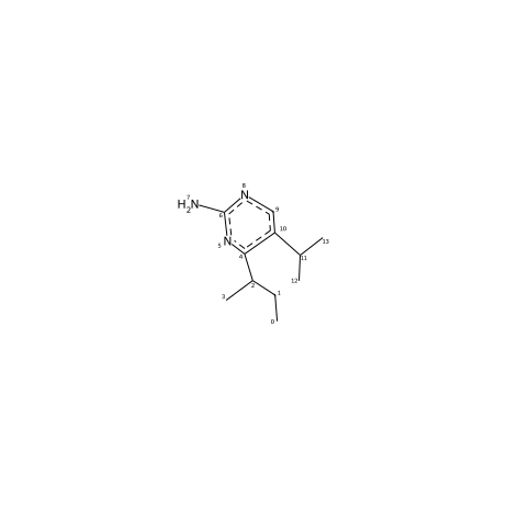 CCC(C)c1nc(N)ncc1C(C)C